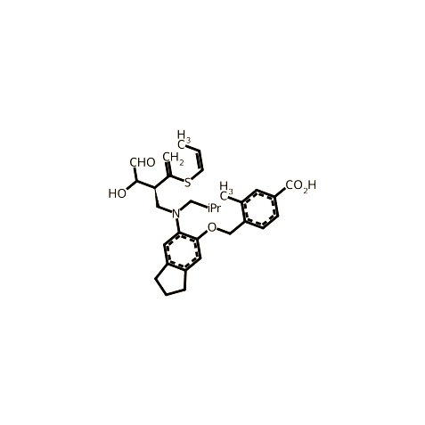 C=C(S/C=C\C)[C@@H](CN(CC(C)C)c1cc2c(cc1OCc1ccc(C(=O)O)cc1C)CCC2)C(O)C=O